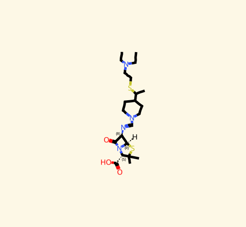 CCN(CC)CCSC(C)C1CCN(C=N[C@@H]2C(=O)N3[C@@H]2SC(C)(C)[C@@H]3C(=O)O)CC1